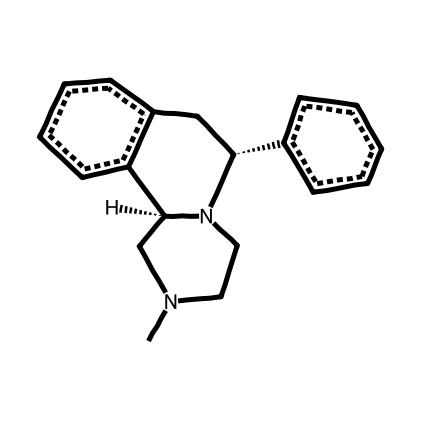 CN1CCN2[C@@H](c3ccccc3)Cc3ccccc3[C@@H]2C1